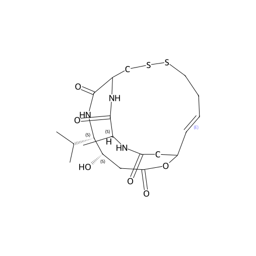 CC(C)[C@@H]1NC(=O)C2CSSCC/C=C/C(CC(=O)N[C@@H](C)C(=O)N2)OC(=O)C[C@@H]1O